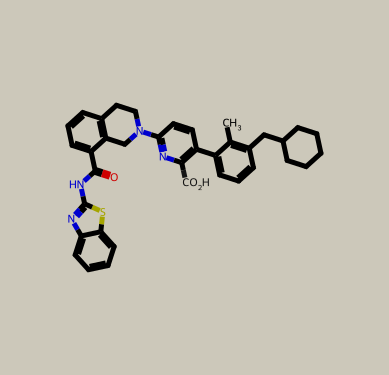 Cc1c(CC2CCCCC2)cccc1-c1ccc(N2CCc3cccc(C(=O)Nc4nc5ccccc5s4)c3C2)nc1C(=O)O